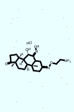 C[C@]12CC/C(=N/OCCN)CC1/C(=N/O)[C@@H](O)[C@@H]1[C@@H]2CC[C@]2(C)C(=O)CC[C@@H]12.Cl